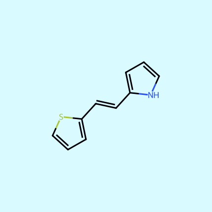 C(=C\c1cccs1)/c1ccc[nH]1